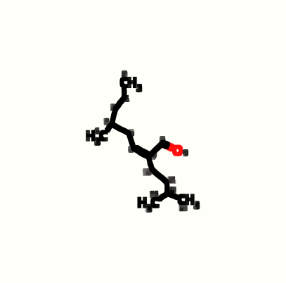 CCCC(C)CC=C(C=O)CCC(C)C